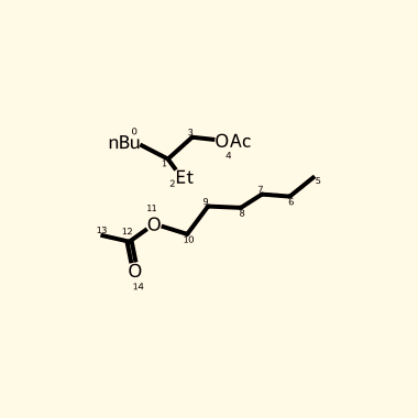 CCCCC(CC)COC(C)=O.CCCCCCOC(C)=O